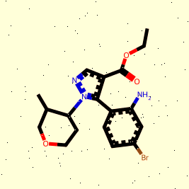 CCOC(=O)c1cnn(C2CCOCC2C)c1-c1ccc(Br)cc1N